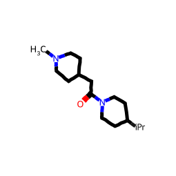 CC(C)C1CCN(C(=O)CC2CCN(C)CC2)CC1